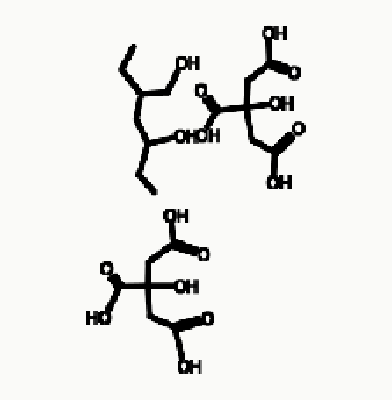 CCC(O)CC(CC)CO.O=C(O)CC(O)(CC(=O)O)C(=O)O.O=C(O)CC(O)(CC(=O)O)C(=O)O